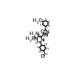 Cc1cccc(-c2nnc(C3=C(N)N(C)CC(c4ccc(C=O)cc4)=N3)o2)c1